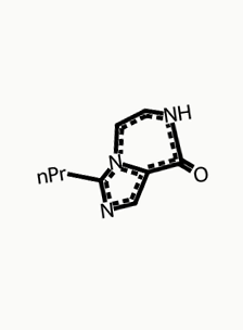 CCCc1ncc2c(=O)[nH]ccn12